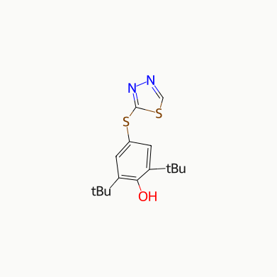 CC(C)(C)c1cc(Sc2nncs2)cc(C(C)(C)C)c1O